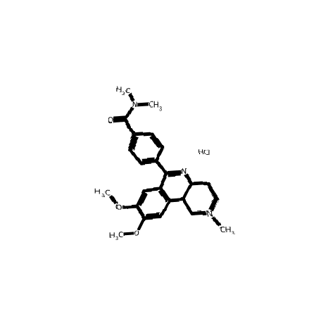 COc1cc2c(cc1OC)C1CN(C)CCC1N=C2c1ccc(C(=O)N(C)C)cc1.Cl